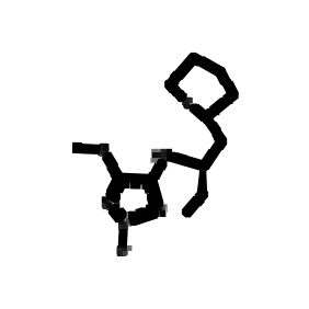 CC[C@H](CC1CCCCC1)Nc1n[s+]([O-])nc1OC